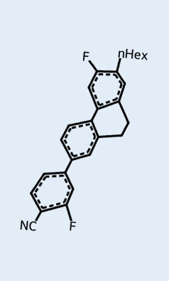 CCCCCCc1cc2c(cc1F)-c1ccc(-c3ccc(C#N)c(F)c3)cc1CC2